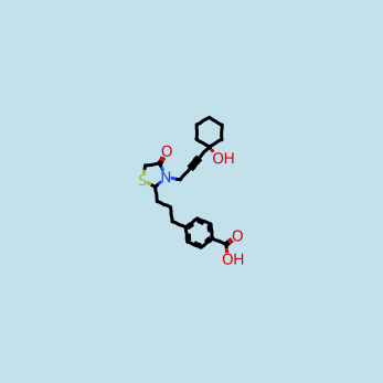 O=C(O)c1ccc(CCCC2SCC(=O)N2CC#CC2(O)CCCCC2)cc1